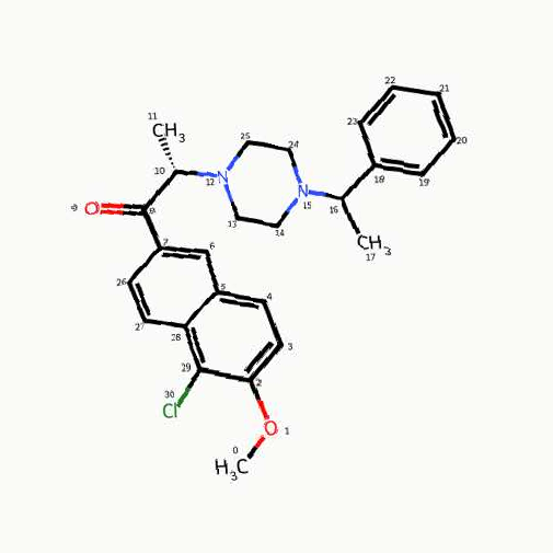 COc1ccc2cc(C(=O)[C@H](C)N3CCN(C(C)c4ccccc4)CC3)ccc2c1Cl